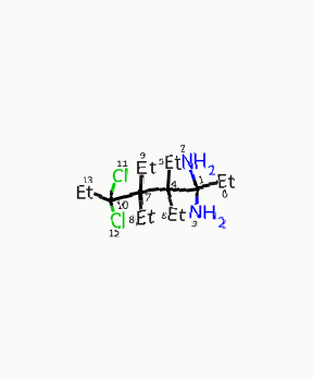 CCC(N)(N)C(CC)(CC)C(CC)(CC)C(Cl)(Cl)CC